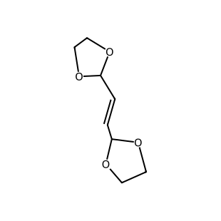 C(=CC1OCCO1)C1OCCO1